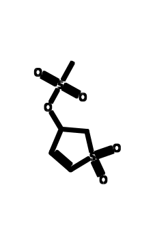 CS(=O)(=O)OC1C=CS(=O)(=O)C1